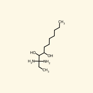 CCCCCCCC(O)C(O)C(N)(N)CC